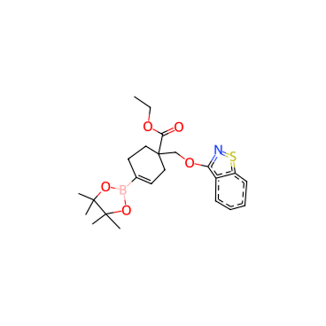 CCOC(=O)C1(COc2nsc3ccccc23)CC=C(B2OC(C)(C)C(C)(C)O2)CC1